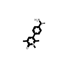 Cc1cc(-c2ccc([C@H](C)N)cc2)c(C)n(C)c1=O